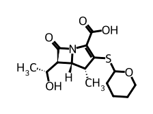 C[C@@H](O)[C@H]1C(=O)N2C(C(=O)O)=C(SC3CCCCO3)[C@H](C)[C@H]12